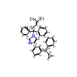 CCC(=C[SiH2]C(c1ccccc1)(c1ccccc1)n1ccnc1)CC.c1ccc(B(c2ccccc2)C2CC2)cc1